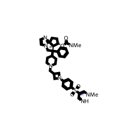 CN/C=C(\C=N)S(=O)(=O)c1ccc(N2CC(CN3CCC(C(Cn4ccnc4)(c4ccccc4)[C@H]4CCC[C@@H]4OC(=O)NC)CC3)C2)cc1